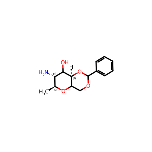 C[C@@H]1OC2COC(c3ccccc3)O[C@@H]2C(O)[C@H]1N